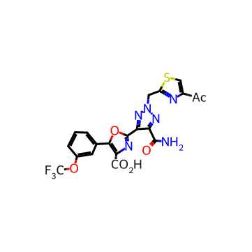 CC(=O)c1csc(Cn2nc(C(N)=O)c(-c3nc(C(=O)O)c(-c4cccc(OC(F)(F)F)c4)o3)n2)n1